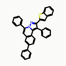 c1ccc(-c2ccc3c(c2)cc(-c2ccccc2)n2nc(-c4cc5ccccc5s4)c(-c4ccccc4)c32)cc1